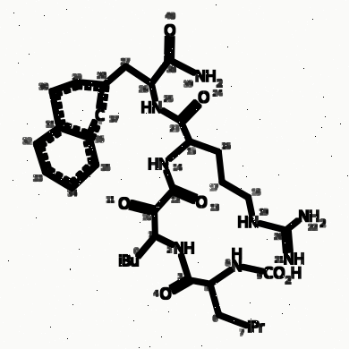 CCC(C)C(NC(=O)C(CC(C)C)NC(=O)O)C(=O)C(=O)NC(CCCNC(=N)N)C(=O)NC(Cc1ccc2ccccc2c1)C(N)=O